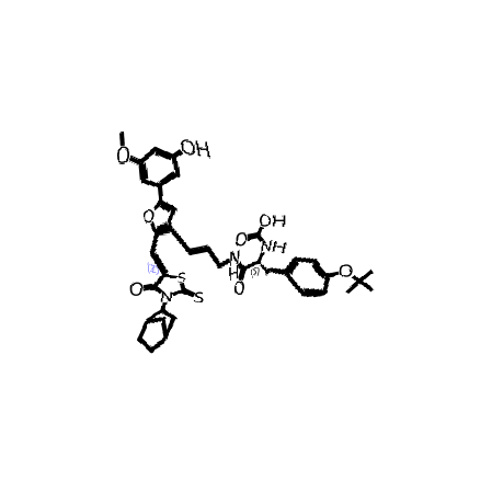 COc1cc(O)cc(-c2cc(CCCNC(=O)[C@H](Cc3ccc(OC(C)(C)C)cc3)NC(=O)O)c(/C=C3\SC(=S)N(C4CC5CCC4C5)C3=O)o2)c1